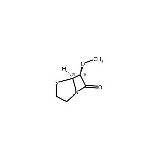 CO[C@H]1C(=O)N2CCS[C@@H]12